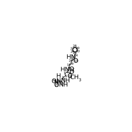 COC(=O)C(CCCNC(=N)N[N+](=O)[O-])NC(=O)CCCC(=O)NCc1ccccc1